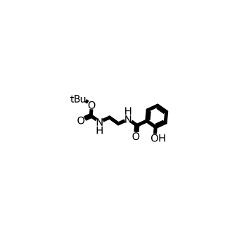 CC(C)(C)OC(=O)NCCNC(=O)c1ccccc1O